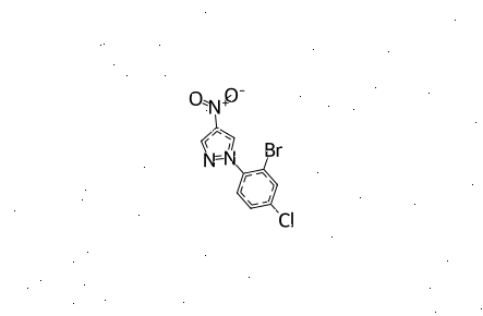 O=[N+]([O-])c1cnn(-c2ccc(Cl)cc2Br)c1